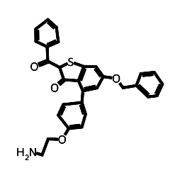 NCCOc1ccc(-c2cc(OCc3ccccc3)cc3c2C(=O)C(C(=O)c2ccccc2)S3)cc1